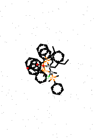 CCC[CH2][Pt]([CH2]CCC)([PH](c1ccccc1)(c1ccccc1)c1ccccc1)([PH](c1ccccc1)(c1ccccc1)c1ccccc1)[Pt]([CH3])([Cl])([PH](C)(C)c1ccccc1)[PH](C)(C)c1ccccc1